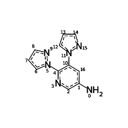 Nc1cnc(-n2cccn2)c(-n2cccn2)c1